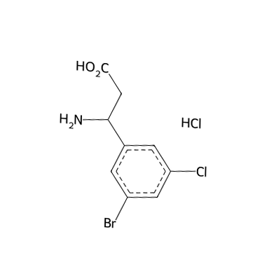 Cl.NC(CC(=O)O)c1cc(Cl)cc(Br)c1